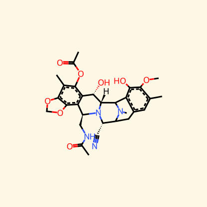 COc1c(C)cc2c(c1O)C1[C@H]3[C@@H](O)c4c(OC(C)=O)c(C)c5c(c4[C@H](CNC(C)=O)N3[C@@H](C#N)C(C2)N1C)OCO5